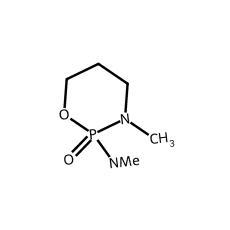 CNP1(=O)OCCCN1C